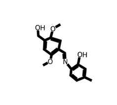 COc1cc(CO)c(OC)cc1C=Nc1ccc(C)cc1O